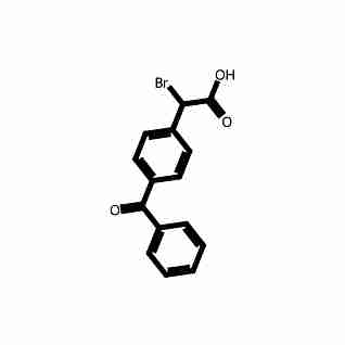 O=C(c1ccccc1)c1ccc(C(Br)C(=O)O)cc1